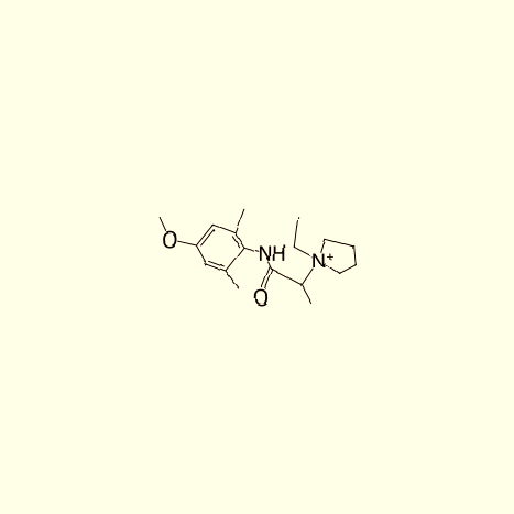 CC[N+]1(C(C)C(=O)Nc2c(C)cc(OC)cc2C)CCCC1